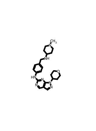 CN1CCC(NCc2ccc(Nc3ncc4cnn(C5CCOCC5)c4n3)cc2)CC1